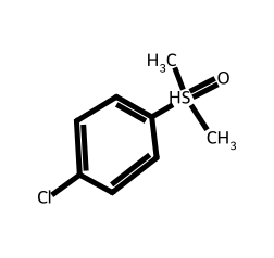 C[SH](C)(=O)c1ccc(Cl)cc1